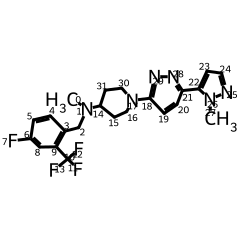 CN(Cc1ccc(F)cc1C(F)(F)F)C1CCN(c2ccc(-c3ccnn3C)nn2)CC1